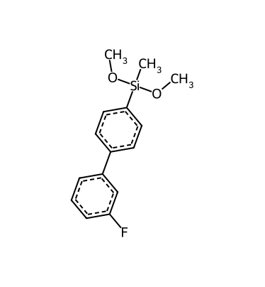 CO[Si](C)(OC)c1ccc(-c2cccc(F)c2)cc1